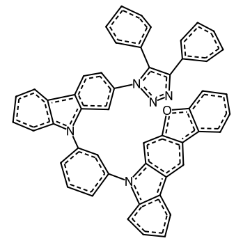 c1ccc(-c2nnn(-c3ccc4c5ccccc5n(-c5cccc(-n6c7ccccc7c7cc8c(cc76)oc6ccccc68)c5)c4c3)c2-c2ccccc2)cc1